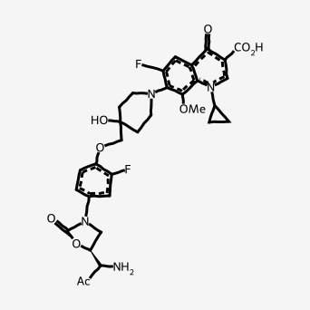 COc1c(N2CCC(O)(COc3ccc(N4C[C@@H](C(N)C(C)=O)OC4=O)cc3F)CC2)c(F)cc2c(=O)c(C(=O)O)cn(C3CC3)c12